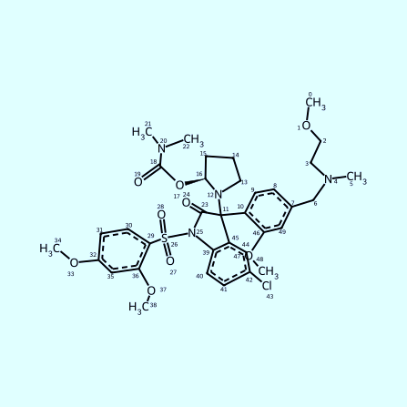 COCCN(C)Cc1ccc(C2(N3CCC[C@@H]3OC(=O)N(C)C)C(=O)N(S(=O)(=O)c3ccc(OC)cc3OC)c3ccc(Cl)cc32)c(OC)c1